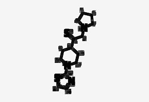 S=C(CN1CCCC1)C1CCN(c2nccs2)CC1